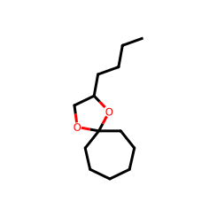 CCCCC1COC2(CCCCCC2)O1